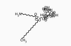 CCCCCCCCCCCCCCCC(=O)O[C@H](COC(=O)CCCCCCCCN)COP(=O)(O)OC1C(O)[C@@H](OP(=O)(O)O)C(O)[C@@H](OP(=O)(O)O)[C@H]1O